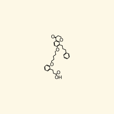 O=C(O)CCc1ccccc1OCCCCCOc1ccc2c(c1CCCc1ccccc1)OCCC2=O